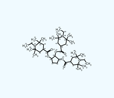 CCN1C(C)(C)CC(C(=O)OC2CCC(OC(=O)C3CC(C)(C)N(CC)C(C)(C)C3)C2OC(=O)C2CC(C)(C)N(CC)C(C)(C)C2)CC1(C)C